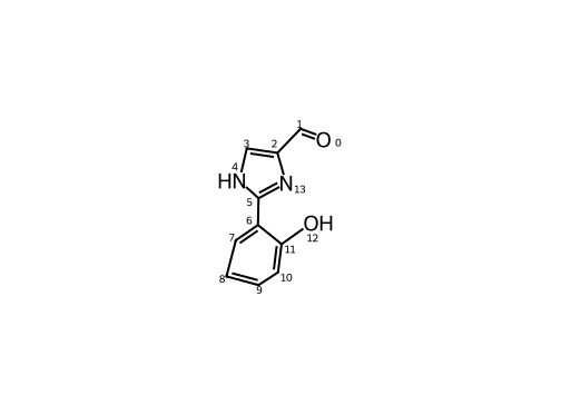 O=Cc1c[nH]c(-c2ccccc2O)n1